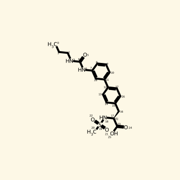 CCCNC(=O)Nc1cccc(-c2ccc(C[C@H](NS(C)(=O)=O)C(=O)O)cc2)c1